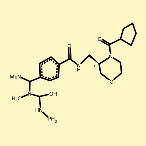 CNC(c1ccc(C(=O)NC[C@@H]2COCCN2C(=O)C2CCCC2)cc1)N(C)C(O)NP